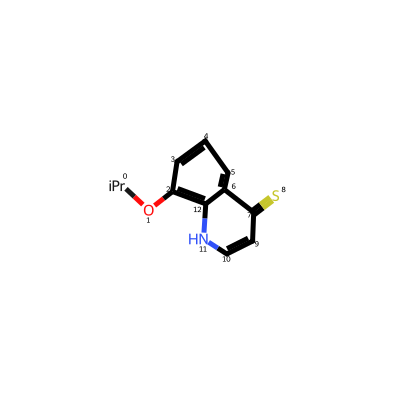 CC(C)Oc1cccc2c(=S)cc[nH]c12